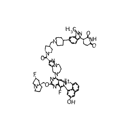 CCc1cccc2cc(O)cc(-c3ncc4c(N5CCCn6nc(C(=O)N7CCC(CN8CCC(c9ccc%10c(C%11CCC(=O)NC%11=O)nn(C)c%10c9)CC8)CC7)cc6C5)nc(OC[C@@]56CCCN5C[C@H](F)C6)nc4c3F)c12